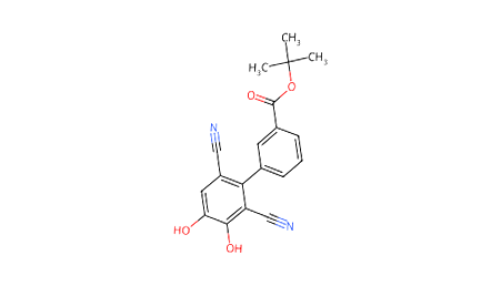 CC(C)(C)OC(=O)c1cccc(-c2c(C#N)cc(O)c(O)c2C#N)c1